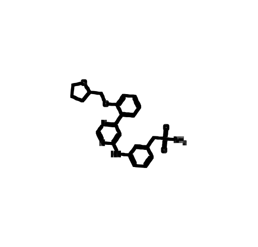 NS(=O)(=O)Cc1cccc(Nc2cc(-c3ccccc3OCC3CCCO3)ncn2)c1